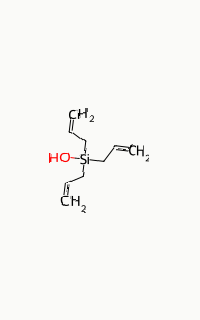 C=CC[Si](O)(CC=C)CC=C